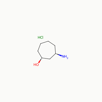 Cl.N[C@@H]1CCCC[C@H](O)C1